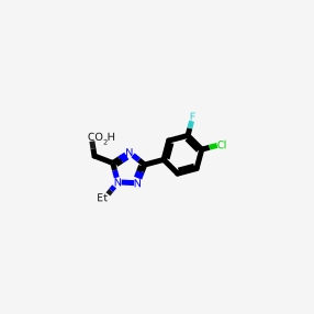 CCn1nc(-c2ccc(Cl)c(F)c2)nc1CC(=O)O